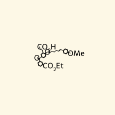 CCOC(=O)c1cccc(C(=O)c2ccc(OCCCC/C=C/c3ccc(OC)cc3)c(CCC(=O)O)c2)c1